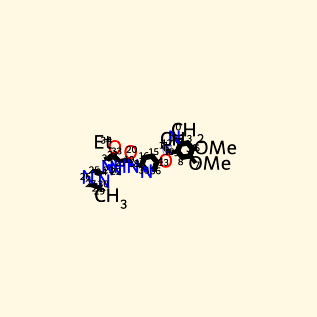 C=Nc1cc(OC)c(OC)cc1/C(=C\C)Oc1ccc(NC(=O)c2nn(-c3cncc(C)n3)cc2OCC)nc1